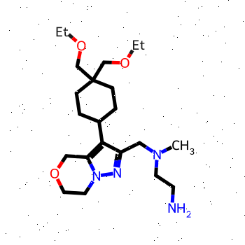 CCOCC1(COCC)CCC(c2c(CN(C)CCN)nn3c2COCC3)CC1